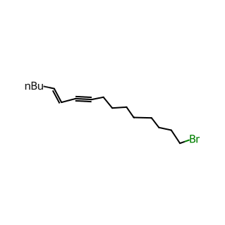 CCCCC=CC#CCCCCCCCCBr